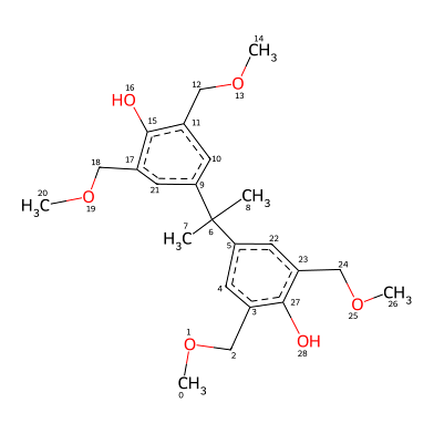 COCc1cc(C(C)(C)c2cc(COC)c(O)c(COC)c2)cc(COC)c1O